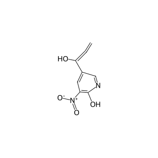 C=C=C(O)c1cnc(O)c([N+](=O)[O-])c1